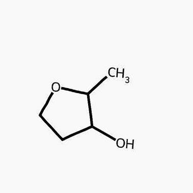 CC1OCCC1O